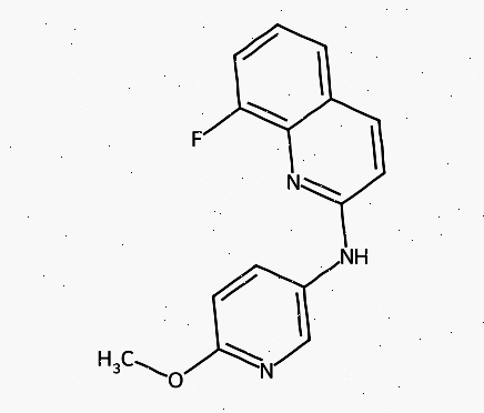 COc1ccc(Nc2ccc3cccc(F)c3n2)cn1